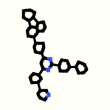 c1ccc(-c2ccc(-c3nc(-c4ccc(-c5ccc6c7c(cccc57)-c5ccccc5-6)cc4)cc(-c4cccc(-c5cccnc5)c4)n3)cc2)cc1